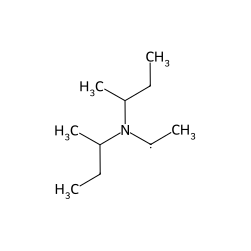 C[CH]N(C(C)CC)C(C)CC